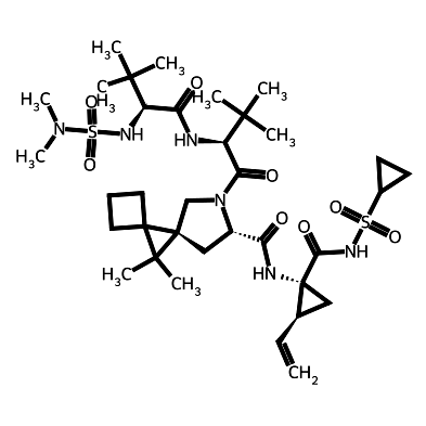 C=C[C@@H]1C[C@]1(NC(=O)[C@@H]1C[C@@]2(CN1C(=O)[C@@H](NC(=O)[C@@H](NS(=O)(=O)N(C)C)C(C)(C)C)C(C)(C)C)C(C)(C)C21CCC1)C(=O)NS(=O)(=O)C1CC1